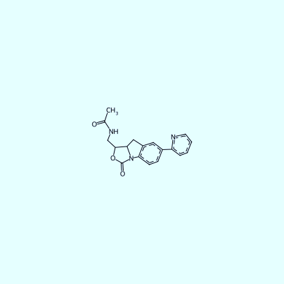 CC(=O)NCC1OC(=O)N2c3ccc(-c4ccccn4)cc3CC12